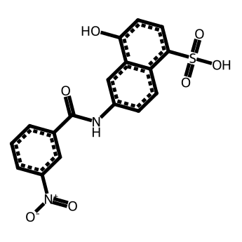 O=C(Nc1ccc2c(S(=O)(=O)O)ccc(O)c2c1)c1cccc([N+](=O)[O-])c1